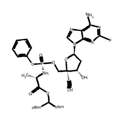 C#C[C@]1(CO[P@@](=O)(N[C@@H](C)C(=O)OC(CCCCCCCCC)CCCCCCCCC)Oc2ccccc2)O[C@@H](n2cnc3c(N)nc(F)nc32)C[C@@H]1O